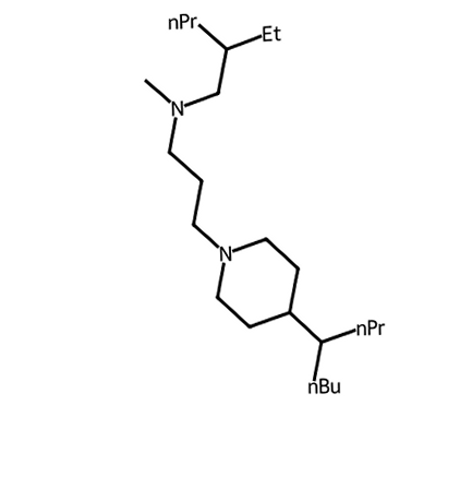 CCCCC(CCC)C1CCN(CCCN(C)CC(CC)CCC)CC1